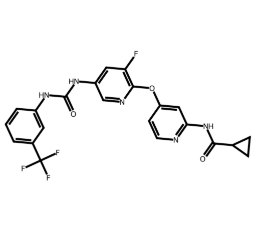 O=C(Nc1cccc(C(F)(F)F)c1)Nc1cnc(Oc2ccnc(NC(=O)C3CC3)c2)c(F)c1